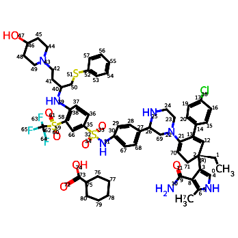 CC[C@]1(c2c[nH]c(C)c2C(N)=O)C=C(c2ccc(Cl)cc2)C(N2CCNC(c3ccc(NS(=O)(=O)c4ccc(NC(CCN5CCC(O)CC5)CSc5ccccc5)c(S(=O)(=O)C(F)(F)F)c4)cc3)C2)=CC1.O=C(O)C1CCCCC1